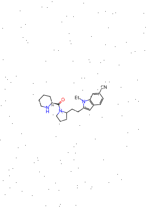 CCn1c(CCC2CCCN2C(=O)[C@@H]2CCCCN2)cc2ccc(C#N)cc21